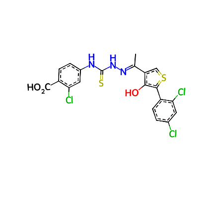 C/C(=N\NC(=S)Nc1ccc(C(=O)O)c(Cl)c1)c1csc(-c2ccc(Cl)cc2Cl)c1O